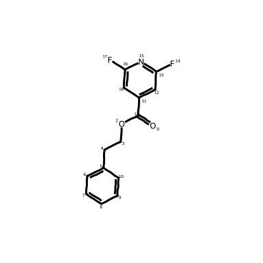 O=C(OCCc1ccccc1)c1cc(F)nc(F)c1